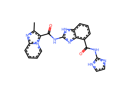 Cc1nc2ccccn2c1C(=O)Nc1nc2c(C(=O)Nc3ncc[nH]3)cccc2[nH]1